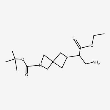 CCOC(=O)C(CN)C1CC2(C1)CN(C(=O)OC(C)(C)C)C2